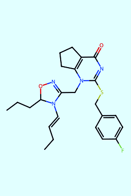 CCC=CN1C(Cn2c(SCc3ccc(F)cc3)nc(=O)c3c2CCC3)=NOC1CCC